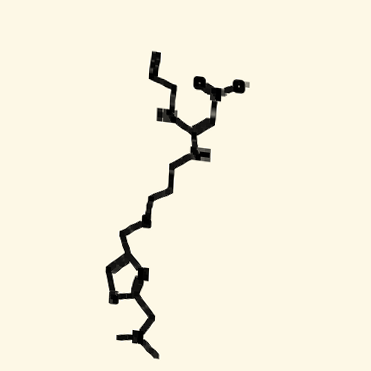 C=CCNC(=C[N+](=O)[O-])NCCCSCc1csc(CN(C)C)n1